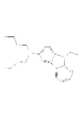 CCCC[S+](CCCC)c1ccc2c(c1)c1ccccc1n2CC